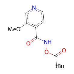 COc1cnccc1C(=O)NOC(=O)C(C)(C)C